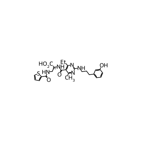 CCc1nc(NCCCc2cccc(O)c2)nc(C)c1C(=O)N[C@@H](CNC(=O)c1cccs1)C(=O)O